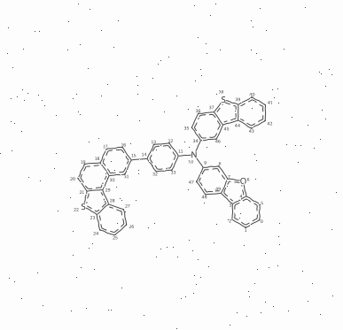 c1ccc2c(c1)oc1cc(N(c3ccc(-c4ccc5ccc6sc7ccccc7c6c5c4)cc3)c3ccc4sc5ccccc5c4c3)ccc12